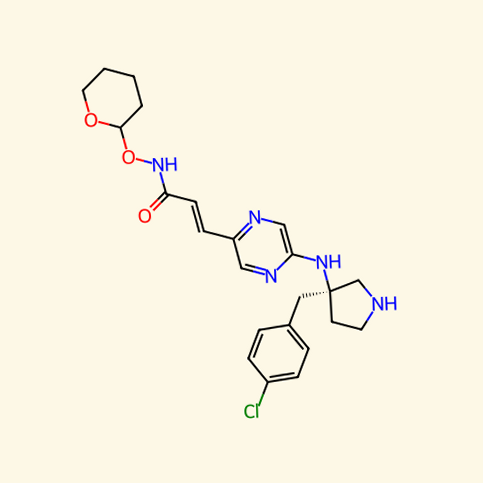 O=C(/C=C/c1cnc(N[C@]2(Cc3ccc(Cl)cc3)CCNC2)cn1)NOC1CCCCO1